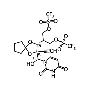 C#C[C@@]1([C@@H](O)n2ccc(=O)[nH]c2=O)OC2(CCCC2)O[C@@H]1C(COS(=O)(=O)C(F)(F)F)COS(=O)(=O)C(F)(F)F